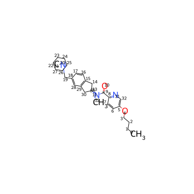 CCCCOc1ccc(C(=O)N(C)[C@@H]2Cc3ccc(CN4CC5CCC4CC5)cc3C2)nc1